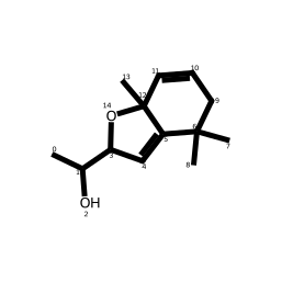 CC(O)C1C=C2C(C)(C)CC=CC2(C)O1